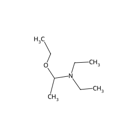 CCOC(C)N(CC)CC